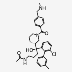 CNCc1ccc(C(=O)N2CCC[C@@H]([C@@](O)(CCCNC(C)=O)c3cccc(Cl)c3-c3cccc(C)c3)C2)cc1